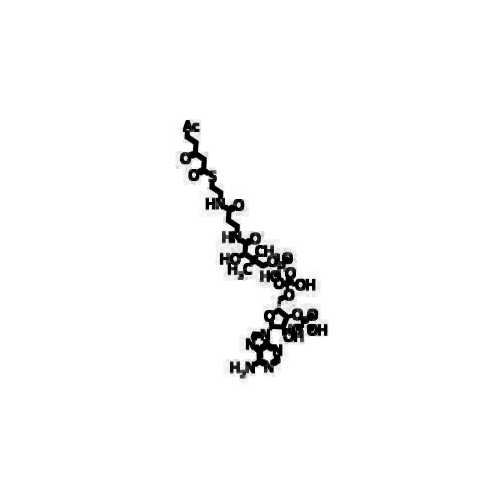 CC(=O)CCC(=O)CC(=O)SCCNC(=O)CCNC(=O)C(O)C(C)(C)COP(=O)(O)OP(=O)(O)OC[C@H]1O[C@@H](n2cnc3c(N)ncnc32)[C@H](O)[C@@H]1OP(=O)(O)O